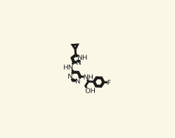 OCC(Nc1cc(Nc2cc(C3CC3)[nH]n2)ncn1)c1ccc(F)cc1